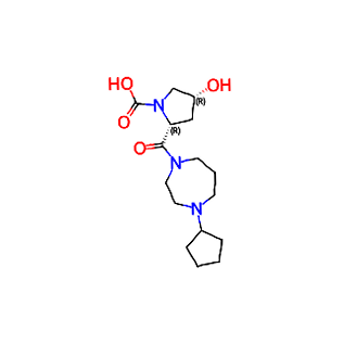 O=C([C@H]1C[C@@H](O)CN1C(=O)O)N1CCCN(C2CCCC2)CC1